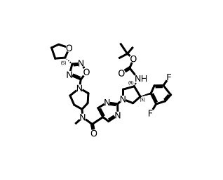 CN(C(=O)c1cnc(N2C[C@H](NC(=O)OC(C)(C)C)[C@@H](c3cc(F)ccc3F)C2)nc1)C1CCN(c2nc([C@@H]3CCCO3)no2)CC1